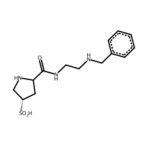 O=C(NCCNCc1ccccc1)C1C[C@H](S(=O)(=O)O)CN1